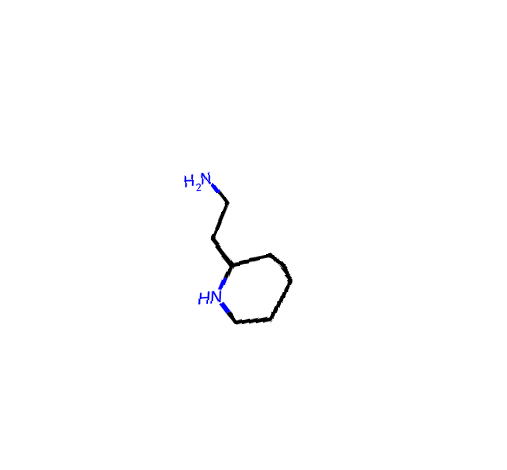 NCCC1CCCCN1